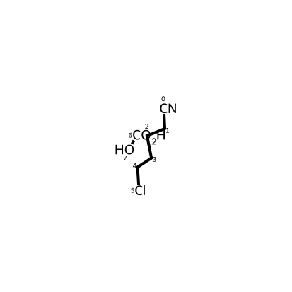 N#CCCCCCl.O=C(O)O